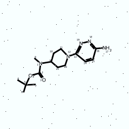 CN(C(=O)OC(C)(C)C)C1CCN(c2ccc(N)nn2)CC1